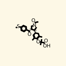 CSc1ccc(C(=O)[C@@H]2CN(C(C)=O)C[C@H]2C2C=C(C)C(OC(C)(C)C(=O)O)=C(C)C2)cc1